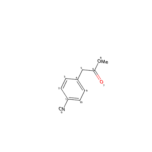 [C-]#[N+]c1ccc(CC(=O)OC)cc1